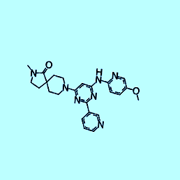 COc1ccc(Nc2cc(N3CCC4(CCN(C)C4=O)CC3)nc(-c3cccnc3)n2)nc1